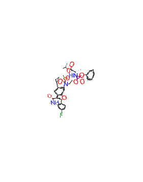 CNC(=O)c1c(-c2ccc(F)cc2)oc2cc(N(CCO[P@@](=O)(N[C@@H](C)C(=O)OC(C)C)Oc3ccccc3)S(C)(=O)=O)c(C3CC3)cc12